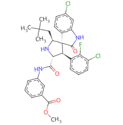 COC(=O)c1cccc(NC(=O)[C@@H]2N[C@@H](CC(C)(C)C)[C@@]3(C(=O)Nc4cc(Cl)ccc43)[C@H]2c2cccc(Cl)c2F)c1